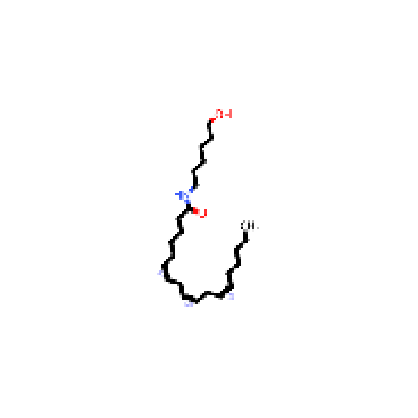 CCCCC/C=C\C/C=C\C/C=C\CCCCC(=O)NCCCCCCO